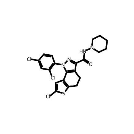 O=C(NN1CCCCC1)c1nn(-c2ccc(Cl)cc2Cl)c2c1CCc1sc(Cl)cc1-2